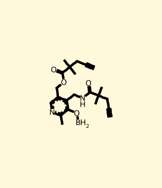 BOc1c(C)ncc(COC(=O)C(C)(C)CC#C)c1CNC(=O)C(C)(C)CC#C